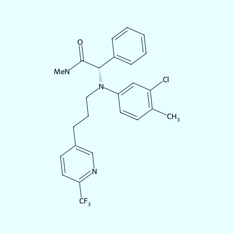 CNC(=O)[C@H](c1ccccc1)N(CCCc1ccc(C(F)(F)F)nc1)c1ccc(C)c(Cl)c1